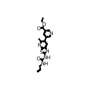 C=CCNC(=O)Nc1nc2cc(-c3cncc(C(=O)OCC)c3)c(C)nc2s1